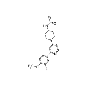 CCC(=O)NC1CCN(c2cc(-c3ccc(OC(F)(F)F)c(F)c3)ncn2)CC1